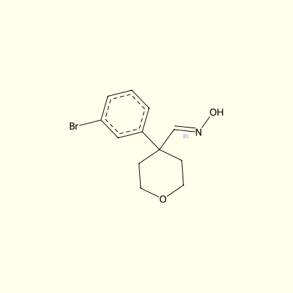 O/N=C/C1(c2cccc(Br)c2)CCOCC1